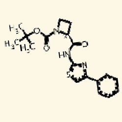 CC(C)(C)OC(=O)N1CC[C@H]1C(=O)Nc1nc(-c2ccccc2)cs1